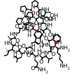 CC[C@H](C)[C@H](NC(=O)[C@H](CC(C)C)NC(=O)[C@H](Cc1c[nH]c2ccccc12)NC(=O)[C@H](CCC(N)=O)NC(=O)[C@@H](NC(=O)[C@H](Cc1ccccc1)NC(=O)[C@H](C)NC(=O)[C@@H](N)CCCCN)C(C)C)C(=O)N[C@@H](C)C(=O)NCC(=O)NCC(=O)N1CCC[C@H]1C(=O)N[C@@H](CO)C(=O)N[C@@H](CO)C(=O)NCC(=O)N[C@@H](C)C(=O)N1CCC[C@H]1C(=O)N1CCC[C@H]1C(=O)N1CCC[C@H]1C(=O)N[C@@H](CO)C(=O)O